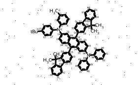 Cc1cccc(N(c2ccc(C(C)(C)C)cc2)c2ccc3c(-c4ccc5c(c4)C(C)(C)c4ccccc4-5)c4cc(N(c5ccccc5)c5ccccc5)ccc4c(-c4ccc5c(c4)C(C)(C)c4ccccc4-5)c3c2)c1